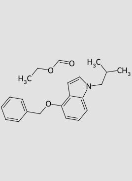 CC(C)Cn1ccc2c(OCc3ccccc3)cccc21.CCOC=O